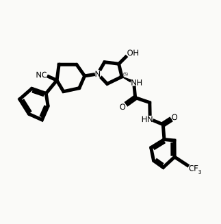 N#CC1(c2ccccc2)CCC(N2CC(O)[C@@H](NC(=O)CNC(=O)c3cccc(C(F)(F)F)c3)C2)CC1